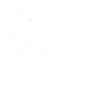 Cc1cccc(C)c1CNc1nc(Nc2cnn(CCO)c2)ncc1Cl